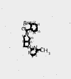 Cc1ccnc(N2CC3CN(C(=O)c4ccccc4Br)CC32)n1